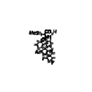 CSCC[C@H](NC(=O)c1ccc(CN(Cc2cc(F)cc(F)c2)c2ccc(C(C)=O)cc2)cc1-c1ccccc1C)C(=O)O